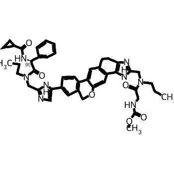 CCCN(Cc1nc2c([nH]1)-c1cc3c(cc1CC2)-c1ccc(-c2cnc(CN(CCC)C(=O)[C@H](NC(=O)C4CC4)c4ccccc4)[nH]2)cc1CO3)C(=O)CNC(=O)OC